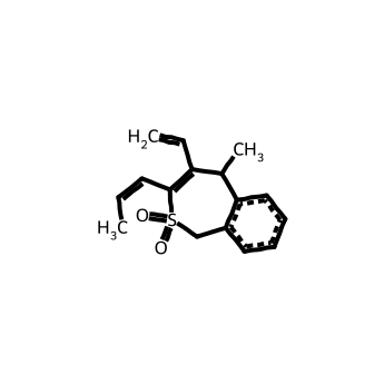 C=CC1=C(/C=C\C)S(=O)(=O)Cc2ccccc2C1C